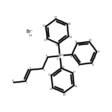 CC=CCC[P+](c1ccccc1)(c1ccccc1)c1ccccc1.[Br-]